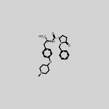 CN1CCC(Oc2ccc(C[C@H](NC(=O)[C@@H]3CCC(=O)N3Cc3ccccc3)C(=O)O)cc2)CC1